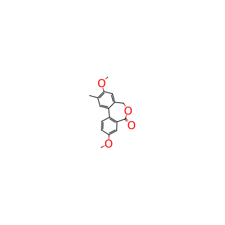 COc1ccc2c(c1)C(=O)OCc1cc(OC)c(C)cc1-2